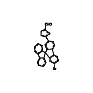 O=Cc1ccc(-c2ccc3c(c2)C2(c4ccccc4-c4ccccc42)c2cc(Br)ccc2-3)s1